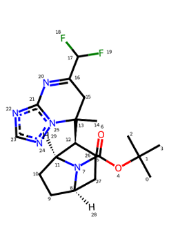 CC(C)(C)OC(=O)N1[C@@H]2CC[C@H]1[C@@H](C1(C)CC(C(F)F)=Nc3ncnn31)CC2